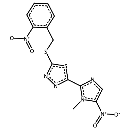 Cn1c([N+](=O)[O-])cnc1-c1nnc(SCc2ccccc2[N+](=O)[O-])s1